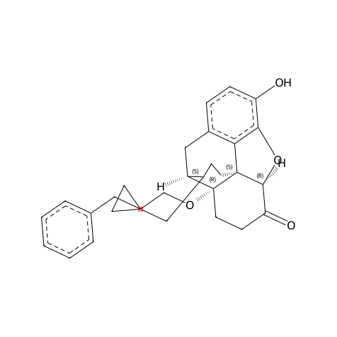 O=C1CC[C@@]2(OCCCc3ccccc3)[C@H]3Cc4ccc(O)c5c4[C@@]2(CCC3CC2CC2)[C@H]1O5